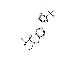 C=C(C)C(=O)N(CC)Cc1ccc(-c2noc(C(F)(F)F)n2)cc1